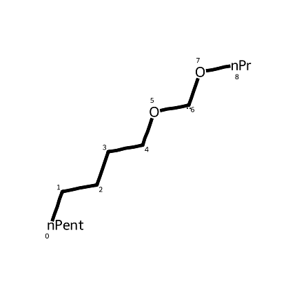 CCCCCCCCCO[C]OCCC